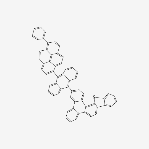 c1ccc(-c2ccc3ccc4c(-c5c6ccccc6c(-c6ccc7c(c6)c6ccccc6c6ccc8c9ccccc9sc8c67)c6ccccc56)ccc5ccc2c3c54)cc1